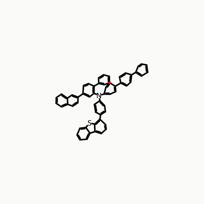 c1ccc(-c2ccc(-c3ccc(N(c4ccc(-c5cccc6c5sc5ccccc56)cc4)c4cc(-c5ccc6ccccc6c5)ccc4-c4ccccc4)cc3)cc2)cc1